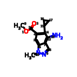 COC(=O)c1cc2c(cnn2C)c(N)c1C1CC1